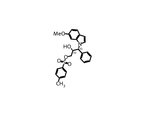 COc1ccc2ccn([C@@H](c3ccccc3)[C@H](O)COS(=O)(=O)c3ccc(C)cc3)c2c1